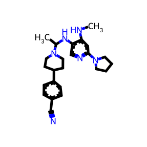 CNc1cc(N2CCCC2)ncc1NC(C)N1CCC(c2ccc(C#N)cc2)CC1